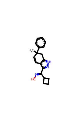 CC1(c2ccccc2)C=Cc2c(C(=NO)C3CCC3)n[nH]c2C1